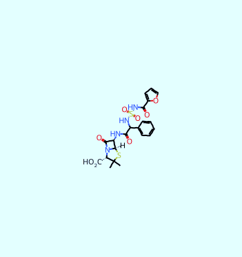 CC1(C)S[C@@H]2[C@H](NC(=O)C(NS(=O)(=O)NC(=O)c3ccco3)c3ccccc3)C(=O)N2[C@H]1C(=O)O